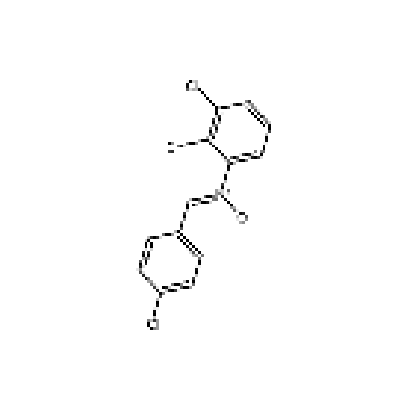 [O-][N+](=Cc1ccc(Cl)cc1)c1cccc(Cl)c1Cl